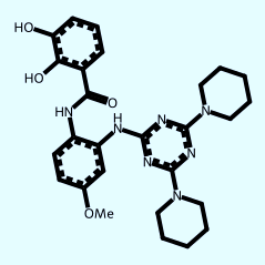 COc1ccc(NC(=O)c2cccc(O)c2O)c(Nc2nc(N3CCCCC3)nc(N3CCCCC3)n2)c1